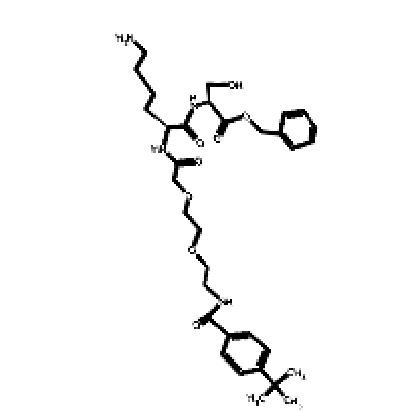 CC(C)(C)c1ccc(C(=O)NCCOCCOCC(=O)N[C@@H](CCCCN)C(=O)N[C@@H](CO)C(=O)OCc2ccccc2)cc1